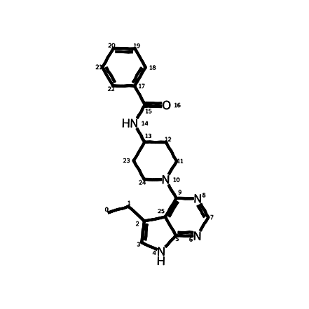 CCc1c[nH]c2ncnc(N3CCC(NC(=O)c4ccccc4)CC3)c12